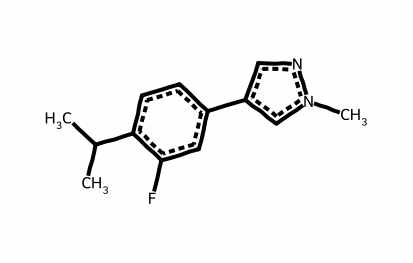 CC(C)c1ccc(-c2cnn(C)c2)cc1F